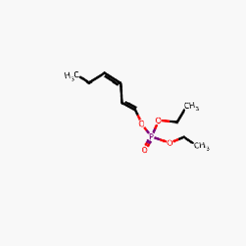 CC/C=C\C=C\OP(=O)(OCC)OCC